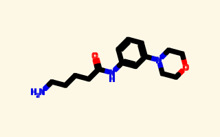 NCCCCC(=O)Nc1cccc(N2CCOCC2)c1